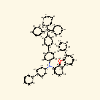 c1ccc(-c2ccc(N(c3ccc(-c4ccc([Si](c5ccccc5)(c5ccccc5)c5ccccc5)cc4)cc3)c3cccc4c3oc3c(-c5ccccc5)cccc34)cc2)cc1